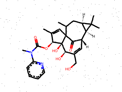 CC1=CC23C(=O)[C@@H](C=C(CO)[C@@H](O)[C@]2(O)[C@H]1OC(=O)N(C)c1ccccn1)[C@H]1[C@@H](CC3C)C1(C)C